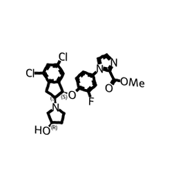 COC(=O)c1nccn1-c1ccc(O[C@H]2c3cc(Cl)cc(Cl)c3C[C@@H]2N2CC[C@@H](O)C2)c(F)c1